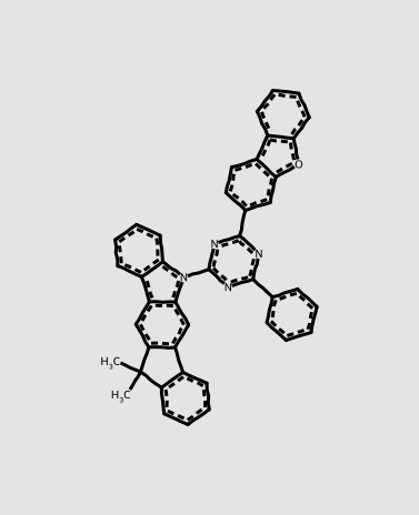 CC1(C)c2ccccc2-c2cc3c(cc21)c1ccccc1n3-c1nc(-c2ccccc2)nc(-c2ccc3c(c2)oc2ccccc23)n1